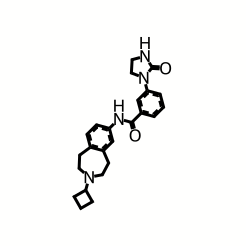 O=C(Nc1ccc2c(c1)CCN(C1CCC1)CC2)c1cccc(N2CCNC2=O)c1